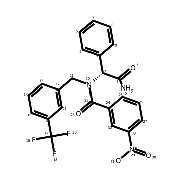 NC(=O)[C@@H](c1ccccc1)N(Cc1cccc(C(F)(F)F)c1)C(=O)c1cccc([N+](=O)[O-])c1